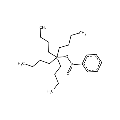 CCCCP(CCCC)(CCCC)(CCCC)OS(=O)c1ccccc1